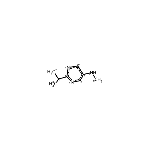 CNc1cnc(C(C)C)nc1